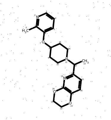 Cc1ncccc1OC1CCN(C(C)c2ccc3c(n2)OCCO3)CC1